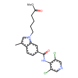 COC(=O)CCCCn1cc(C)c2ccc(C(=O)Nc3c(Cl)cncc3Cl)cc21